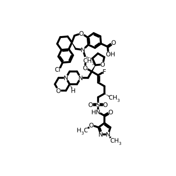 COc1nn(C)cc1C(=O)NS(=O)(=O)C[C@@H](C)C/C=C(\F)C(CN1CCN2CCOC[C@@H]2C1)(OC)[C@@H]1OCC[C@H]1CN1C[C@@]2(CCCc3cc(Cl)ccc32)COc2ccc(C(=O)O)cc21